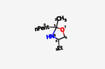 CCCCCC1(C)NC(CC)CO1